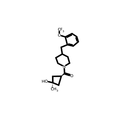 C[C@]1(O)C[C@@H](C(=O)N2CCC(Cc3ccccc3OC(F)(F)F)CC2)C1